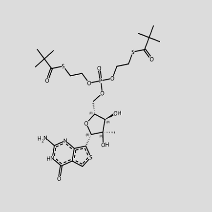 CC(C)(C)C(=O)SCCOP(=O)(OCCSC(=O)C(C)(C)C)OC[C@H]1O[C@@H](c2scc3c(=O)[nH]c(N)nc23)[C@](C)(O)[C@@H]1O